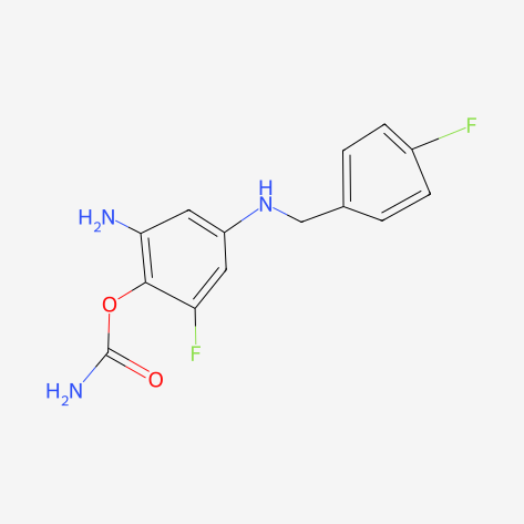 NC(=O)Oc1c(N)cc(NCc2ccc(F)cc2)cc1F